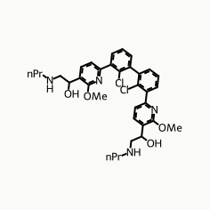 CCCNCC(O)c1ccc(-c2cccc(-c3cccc(-c4ccc(C(O)CNCCC)c(OC)n4)c3Cl)c2Cl)nc1OC